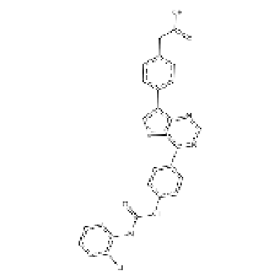 O=C(O)Cc1ccc(-c2csc3c(-c4ccc(NC(=O)Nc5ccccc5Cl)cc4)ncnc23)cc1